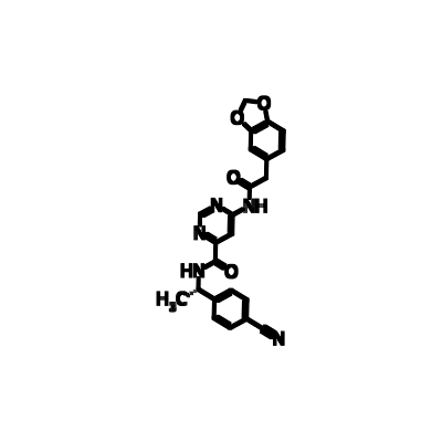 C[C@H](NC(=O)c1cc(NC(=O)Cc2ccc3c(c2)OCO3)ncn1)c1ccc(C#N)cc1